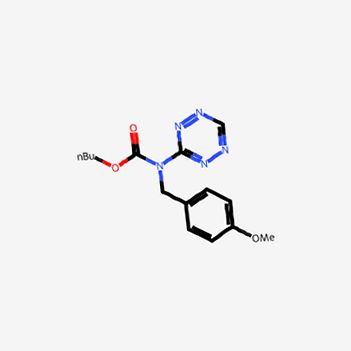 CCCCOC(=O)N(Cc1ccc(OC)cc1)c1nncnn1